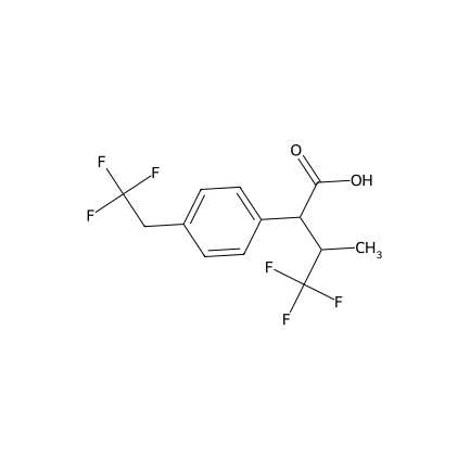 CC(C(C(=O)O)c1ccc(CC(F)(F)F)cc1)C(F)(F)F